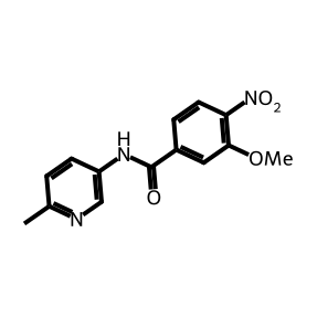 COc1cc(C(=O)Nc2ccc(C)nc2)ccc1[N+](=O)[O-]